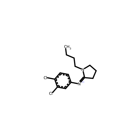 CCCCN1CCC/C1=N/c1ccc(Cl)c(Cl)c1